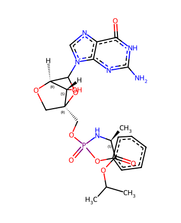 CC(C)OC(=O)[C@H](C)NP(=O)(OC[C@@]12CO[C@@H](C(n3cnc4c(=O)[nH]c(N)nc43)O1)[C@@H]2O)Oc1ccccc1